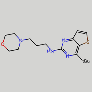 CC(C)(C)c1nc(NCCCN2CCOCC2)nc2ccsc12